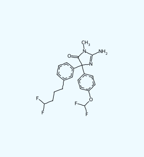 CN1C(=O)C(c2ccc(OC(F)F)cc2)(c2cccc(CCCC(F)F)c2)N=C1N